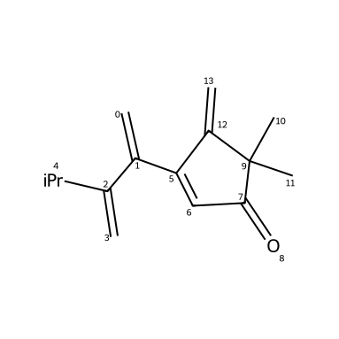 C=C(C(=C)C(C)C)C1=CC(=O)C(C)(C)C1=C